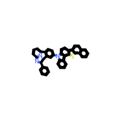 C1=CC2=NC(c3ccccc3)C3c4cc(-n5c6ccccc6c6c7sc8c9ccccc9ccc8c7ccc65)ccc4C(=C1)N23